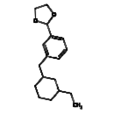 CCC1CCCC(Cc2cccc(C3OCCO3)c2)C1